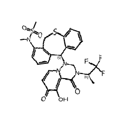 C[C@@H](N1CN([C@@H]2c3ccccc3SCc3c2cccc3N(C)S(C)(=O)=O)n2ccc(=O)c(O)c2C1=O)C(F)(F)F